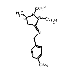 COc1ccc(CN=C2C[C@@H](C)N(C(=O)O)[C@H]2C(=O)O)cc1